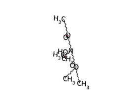 CCCCCCCCCOC(=O)CCCCCCCN(CCCCCCCC(=O)OC(CCCCCCCC)CCCCCCCC)CCC(O)CN(C)C